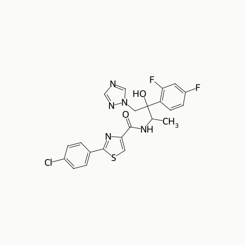 CC(NC(=O)c1csc(-c2ccc(Cl)cc2)n1)C(O)(Cn1cncn1)c1ccc(F)cc1F